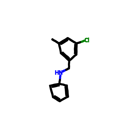 Cc1cc(Cl)cc(CNc2ccccc2)c1